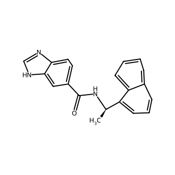 C[C@@H](NC(=O)c1ccc2nc[nH]c2c1)c1cccc2ccccc12